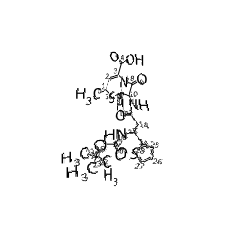 CC1C=C(C(=O)O)N2C(=O)C(NC(=O)CC(NC(=O)OC(C)(C)C)c3cccs3)[C@@H]2S1